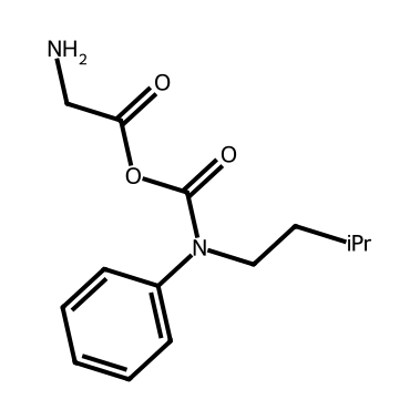 CC(C)CCN(C(=O)OC(=O)CN)c1ccccc1